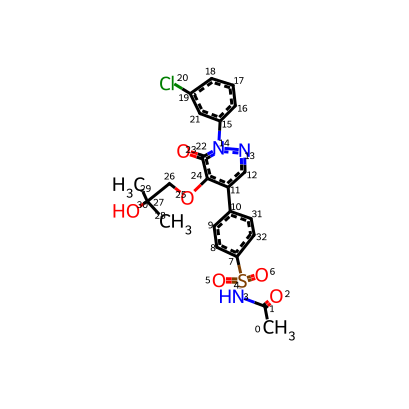 CC(=O)NS(=O)(=O)c1ccc(-c2cnn(-c3cccc(Cl)c3)c(=O)c2OCC(C)(C)O)cc1